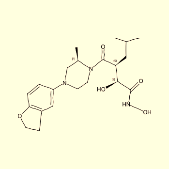 CC(C)C[C@H](C(=O)N1CCN(c2ccc3c(c2)CCO3)C[C@H]1C)[C@H](O)C(=O)NO